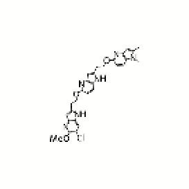 COc1nc2cc(CCOc3ccc4[nH]c(CCOc5ccc6c(cc(C)n6C)n5)cc4n3)[nH]c2cc1Cl